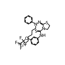 CCCCCCN(/N=C1/SCCN1C(=S)Nc1cccc(OC(F)(F)C(F)F)c1)c1ccccc1